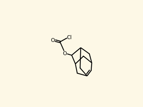 O=C(Cl)OC1C2CC3=CC(C2)CC1C3